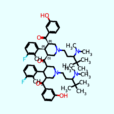 Cc1c(F)cccc1C1C(C(=O)c2cccc(O)c2)CN(CCC(N(C)C)C(C)(C)C)CC1C(=O)[C@@H]1CN(CCC(N(C)C)C(C)(C)C)C[C@H](C(=O)c2cccc(O)c2)[C@@H]1c1cccc(F)c1C